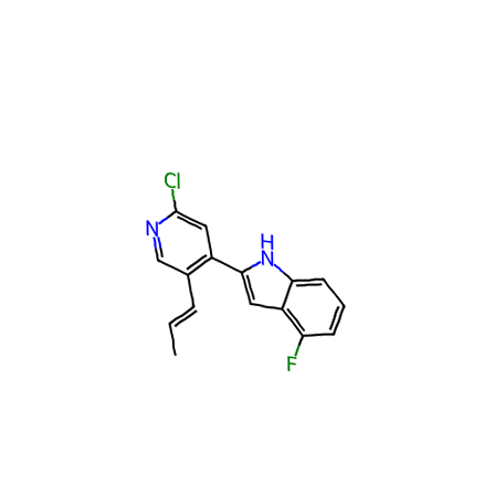 CC=Cc1cnc(Cl)cc1-c1cc2c(F)cccc2[nH]1